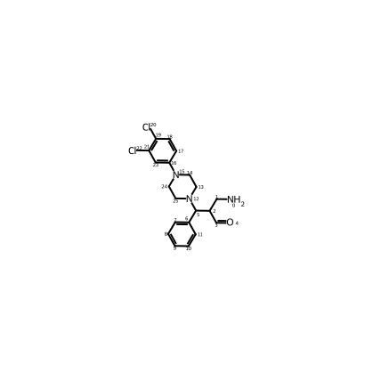 NCC(C=O)C(c1ccccc1)N1CCN(c2ccc(Cl)c(Cl)c2)CC1